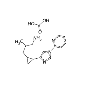 CC(CN)CC1CC1c1cn(-c2ccccn2)cn1.O=C(O)O